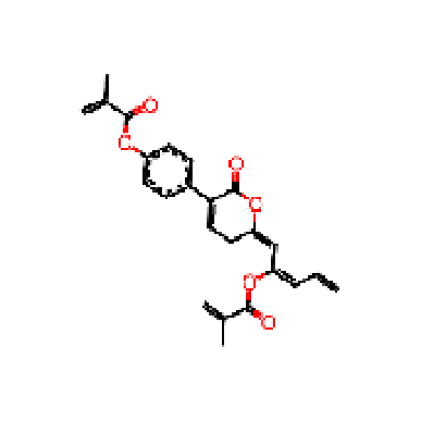 C=C/C=C(\C=C1/CC=C(c2ccc(OC(=O)C(=C)C)cc2)C(=O)O1)OC(=O)C(=C)C